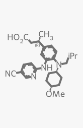 CO[C@H]1CC[C@@H](N(CC(C)C)c2ccc([C@H](C)CC(=O)O)cc2Nc2ccc(C#N)cn2)CC1